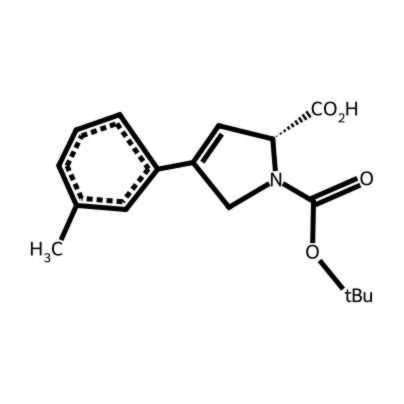 Cc1cccc(C2=C[C@H](C(=O)O)N(C(=O)OC(C)(C)C)C2)c1